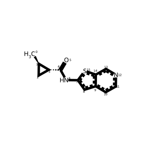 C[C@@H]1C[C@H]1C(=O)Nc1cc2ccncc2s1